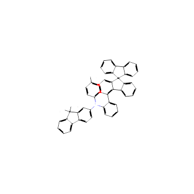 Cc1ccc(N(c2ccc3c(c2)C(C)(C)c2ccccc2-3)c2ccccc2-c2cccc3c2-c2ccccc2C32c3ccccc3-c3ccccc32)cc1